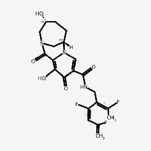 C=C(F)/C=C(F)\C(CNC(=O)c1cn2c(c(O)c1=O)C(=O)N1C[C@H](O)CC[C@H]2C1)=C(/C)F